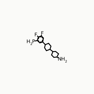 NC1CCC(C2CCC(c3cc(F)c(F)c(P)c3)CC2)CC1